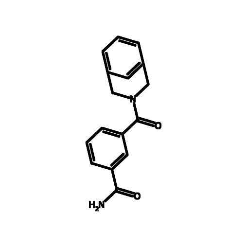 NC(=O)c1cccc(C(=O)N2Cc3cccc(c3)C2)c1